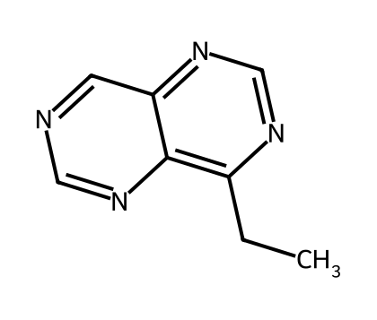 CCc1ncnc2cncnc12